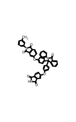 Cc1cccc(N2C(=O)c3ccc(Oc4ccc(C5(c6ccc(Oc7ccc8c(c7)C(=O)NC8=O)cc6)c6ccccc6C(=O)N5c5ccccc5)cc4)cc3C2=O)c1